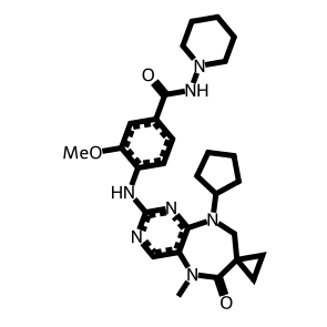 COc1cc(C(=O)NN2CCCCC2)ccc1Nc1ncc2c(n1)N(C1CCCC1)CC1(CC1)C(=O)N2C